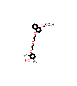 CCCc1c(OCCCOCCCOc2ccc(OCC(=O)O)c3ccccc23)ccc(C(C)=O)c1O